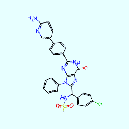 CS(=O)(=O)NC(c1ccc(Cl)cc1)c1nc2c(=O)[nH]c(-c3ccc(-c4ccc(N)nc4)cc3)nc2n1-c1ccccc1